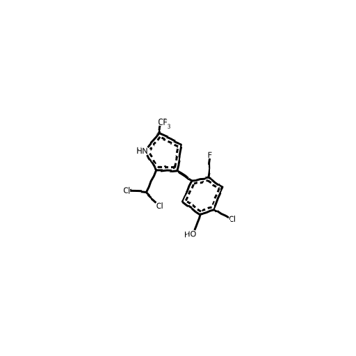 Oc1cc(-c2cc(C(F)(F)F)[nH]c2C(Cl)Cl)c(F)cc1Cl